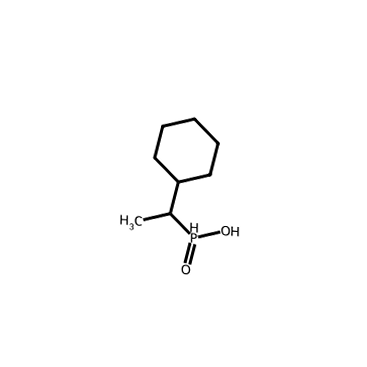 CC(C1CCCCC1)[PH](=O)O